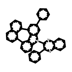 c1ccc(-c2cc3c4c5c(cccc5n(-c5nc6ccccc6nc5-c5ccccc5)c4c2)-c2cccc4cccc-3c24)cc1